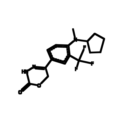 CN(c1ccc(C2=NNC(=O)OC2)cc1C(F)(F)F)C1CCCC1